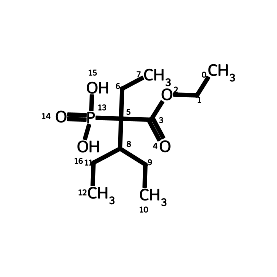 CCOC(=O)C(CC)(C(CC)CC)P(=O)(O)O